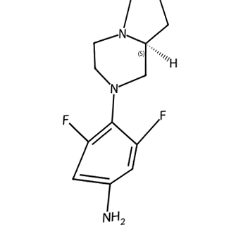 Nc1cc(F)c(N2CCN3CCC[C@H]3C2)c(F)c1